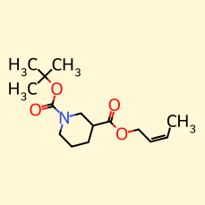 C/C=C\COC(=O)C1CCCN(C(=O)OC(C)(C)C)C1